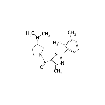 Cc1cccc(-c2nc(C)c(C(=O)N3CCC(N(C)C)C3)s2)c1C